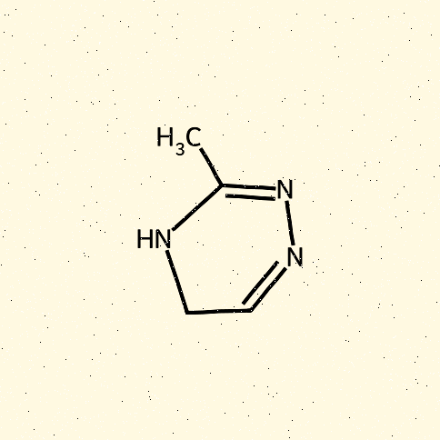 CC1=NN=CCN1